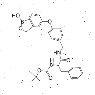 CC(C)(C)OC(=O)NC(Cc1ccccc1)C(=O)NCc1ccc(Oc2ccc3c(c2)COB3O)cc1